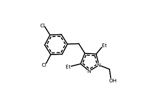 CCc1nn(CO)c(CC)c1Cc1cc(Cl)cc(Cl)c1